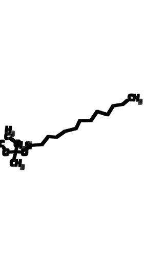 CCCCCCCCCCCC[SiH2]OC(C)(OC)OC